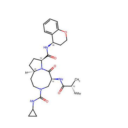 CN[C@@H](C)C(=O)N[C@H]1CN(C(=O)NC2CC2)CC[C@H]2CC[C@@H](C(=O)N[C@@H]3CCOc4ccccc43)N2C1=O